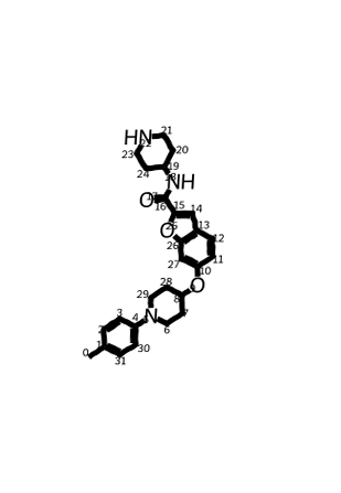 Cc1ccc(N2CCC(Oc3ccc4cc(C(=O)NC5CCNCC5)oc4c3)CC2)cc1